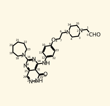 O=CCN1CCN(CCOc2ccc(Nc3nc(N4CCCCCC4)nc4cn[nH]c(=O)c34)cc2)CC1